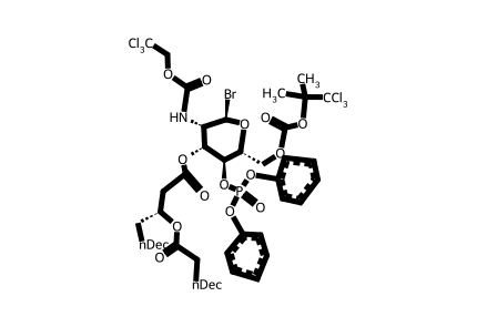 CCCCCCCCCCCC(=O)O[C@H](CCCCCCCCCCC)CC(=O)O[C@@H]1[C@H](NC(=O)OCC(Cl)(Cl)Cl)[C@@H](Br)O[C@H](COC(=O)OC(C)(C)C(Cl)(Cl)Cl)[C@H]1OP(=O)(Oc1ccccc1)Oc1ccccc1